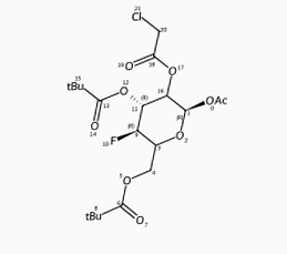 CC(=O)O[C@H]1OC(COC(=O)C(C)(C)C)[C@@H](F)[C@H](OC(=O)C(C)(C)C)C1OC(=O)CCl